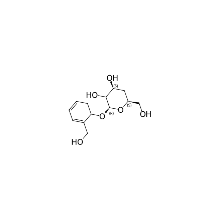 OCC1=CC=CCC1O[C@@H]1O[C@H](CO)C[C@H](O)C1O